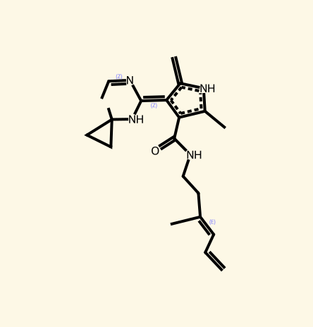 C=C/C=C(\C)CCNC(=O)c1c(C)[nH]c(=C)/c1=C(\N=C/C)NC1(C)CC1